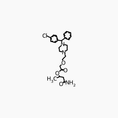 CC(CC(N)=O)OC(=O)COCCN1CCN(C(c2ccccc2)c2ccc(Cl)cc2)CC1